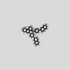 C1=Cc2cc(-c3ccc(-c4ccc5ccccc5c4)cc3N(c3ccccc3)c3ccc(-c4ccc5ccccc5c4)cc3)ccc2CC1